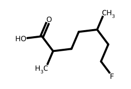 CC(CCF)CCC(C)C(=O)O